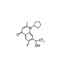 Cc1cc(=O)c2cc(F)c(C(O)C(F)(F)F)cc2n1C1CCCC1